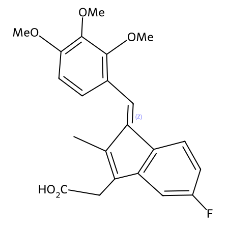 COc1ccc(/C=C2\C(C)=C(CC(=O)O)c3cc(F)ccc32)c(OC)c1OC